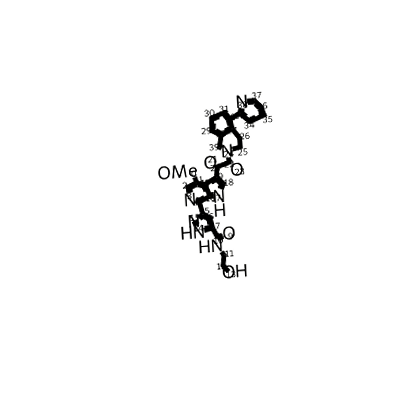 COc1cnc(-c2cc(C(=O)NCCO)[nH]n2)c2[nH]cc(C(=O)C(=O)N3CCc4c(cccc4-c4ccccn4)C3)c12